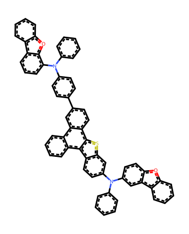 c1ccc(N(c2ccc3c(c2)sc2c4ccc(-c5ccc(N(c6ccccc6)c6cccc7c6oc6ccccc67)cc5)cc4c4ccccc4c32)c2ccc3oc4ccccc4c3c2)cc1